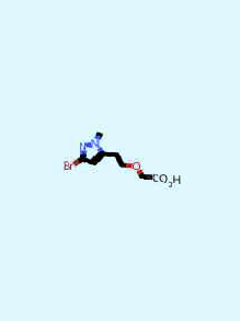 Cn1nc(Br)cc1CCOCC(=O)O